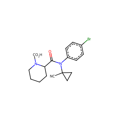 N#CC1(N(C(=O)C2CCCCN2C(=O)O)c2ccc(Br)cc2)CC1